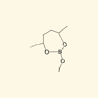 CC1CCC(C)OB(OI)O1